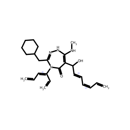 C=C/C=C\C=C\C(O)C1=C(NC)NN=C(CC2CCCCC2)N(/C(C=C)=C/C=C)C1=O